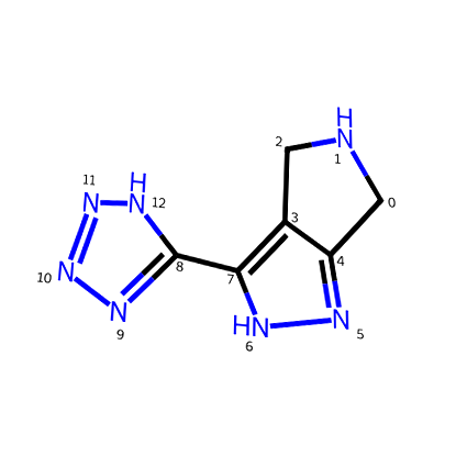 C1NCc2c1n[nH]c2-c1nnn[nH]1